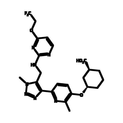 Cc1nc(-c2nnn(C)c2CNc2nccc(OCC(F)(F)F)n2)ccc1O[C@H]1CCC[C@H](C(=O)O)C1